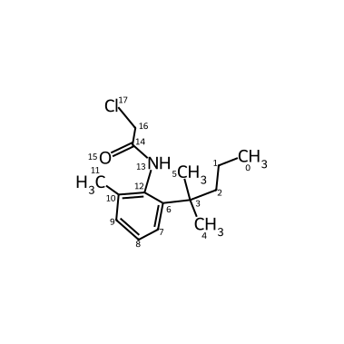 CCCC(C)(C)c1cccc(C)c1NC(=O)CCl